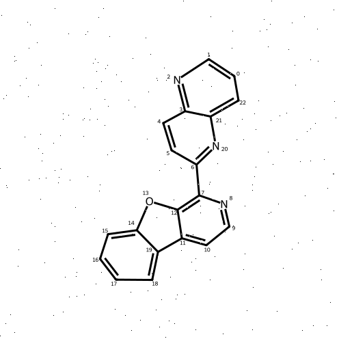 c1cnc2ccc(-c3nccc4c3oc3ccccc34)nc2c1